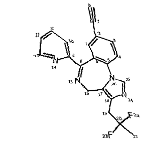 C#Cc1ccc2c(c1)C(c1ccccn1)=NCc1c(CC(C)(F)F)ncn1-2